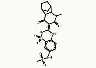 CN1C(=O)/C(=C2\Nc3ccc(NS(C)(=O)=O)cc3S(=O)(=O)N2)C(=O)C2C3CCC(C3)C21